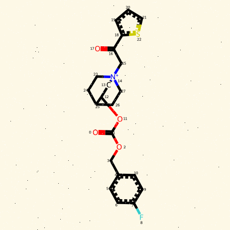 O=C(OCc1ccc(F)cc1)OC1C[N+]2(CC(=O)c3cccs3)CCC1CC2